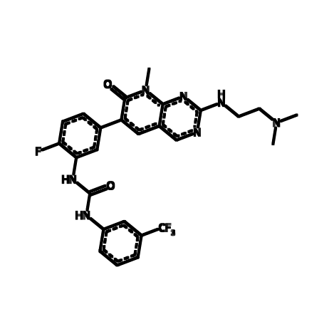 CN(C)CCNc1ncc2cc(-c3ccc(F)c(NC(=O)Nc4cccc(C(F)(F)F)c4)c3)c(=O)n(C)c2n1